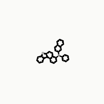 c1ccc(N(c2ccc3ccccc3c2)c2cccc3c2ccc2oc4ccccc4c23)cc1